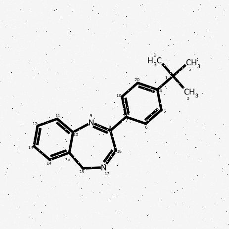 CC(C)(C)c1ccc(C2=Nc3ccccc3CN=C2)cc1